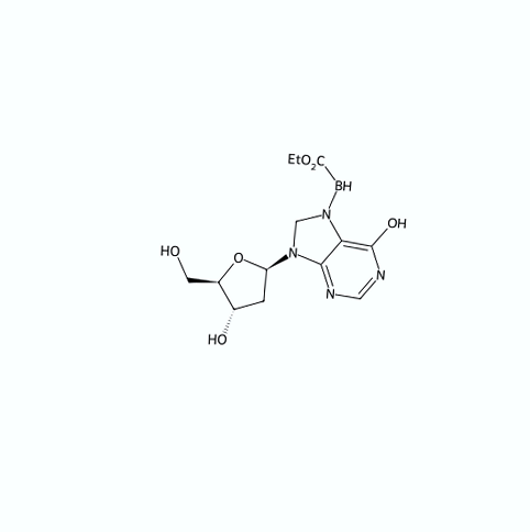 CCOC(=O)BN1CN([C@H]2C[C@H](O)[C@@H](CO)O2)c2ncnc(O)c21